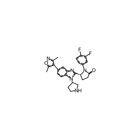 Cc1noc(C)c1-c1ccc2c(c1)nc([C@@H]1CCC(=O)N1c1ccc(F)c(F)c1)n2C1CCNC1